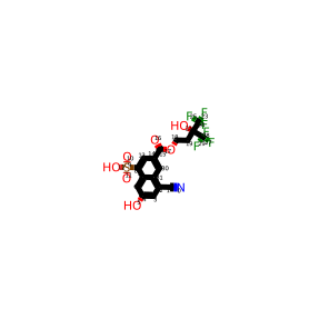 N#Cc1cc(O)cc2c(S(=O)(=O)O)cc(C(=O)OCCC(O)(C(F)(F)F)C(F)(F)F)cc12